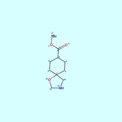 CC(C)(C)OC(=O)C1CCC2(CC1)CNCO2